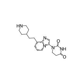 O=C1CCN(c2cnc3c(CCC4CCNCC4)cccn23)C(=O)N1